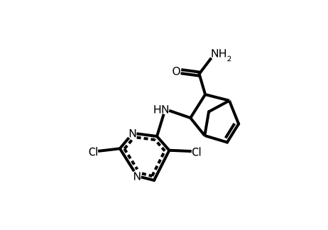 NC(=O)C1C2C=CC(C2)C1Nc1nc(Cl)ncc1Cl